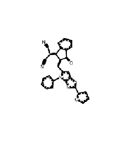 N#CC(C#N)=C1/C(=C/c2cc3sc(-c4ccco4)nc3n2-c2ccccc2)C(=O)c2ccccc21